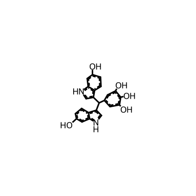 Oc1ccc2c(C(c3cc(O)c(O)c(O)c3)c3c[nH]c4cc(O)ccc34)c[nH]c2c1